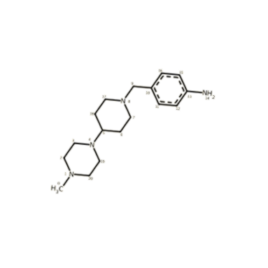 CN1CCN(C2CCN(Cc3ccc(N)cc3)CC2)CC1